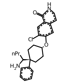 CCCC(N)[C@]1(c2ccccc2)CC[C@@H](Oc2cc3cc[nH]c(=O)c3cc2Cl)CC1